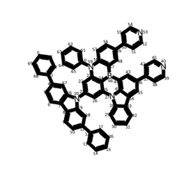 c1ccc(-c2ccc3c4ccc(-c5ccccc5)cc4n(-c4cc5c6c(c4)-n4c7ccccc7c7cc(-c8ccncc8)cc(c74)B6c4cc(-c6ccncc6)ccc4N5c4ccccc4)c3c2)cc1